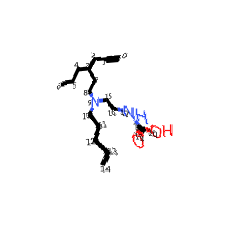 C#CCC(CCC)CCN(CCCCC)CCNC(=O)O